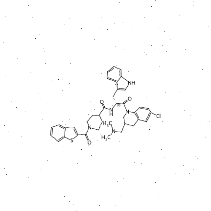 CN(C)CC1Cc2cc(Cl)ccc2N(C(=O)[C@@H](Cc2c[nH]c3ccccc23)NC(=O)C2CCN(C(=O)c3cc4ccccc4s3)CC2)C1